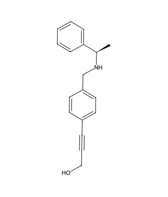 C[C@@H](NCc1ccc(C#CCO)cc1)c1ccccc1